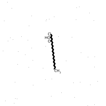 CCCCCCCCCCCCCCCCCC(=O)CC(O)CCl